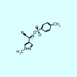 Cc1ccc(S(=O)(=O)O/N=C(\C#N)c2cnn(C)c2)cc1